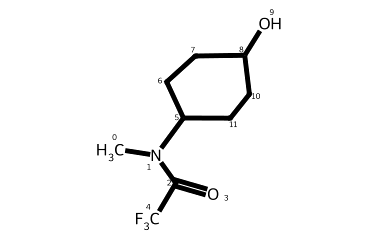 CN(C(=O)C(F)(F)F)C1CCC(O)CC1